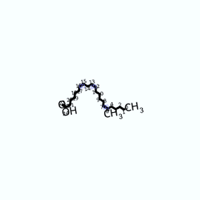 CCCCC/C(C)=C\CCCC/C=C\C/C=C\CCCCCC(=O)O